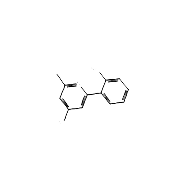 CC(=O)c1cc(C)nc(-c2ccccc2C#N)c1